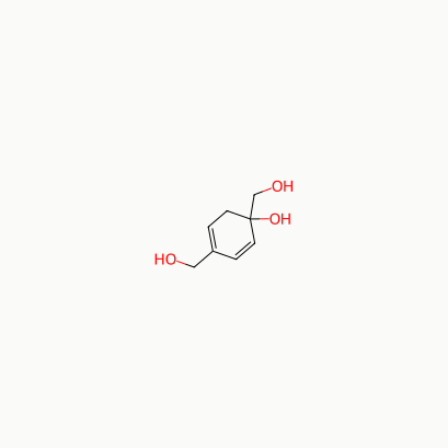 OCC1=CCC(O)(CO)C=C1